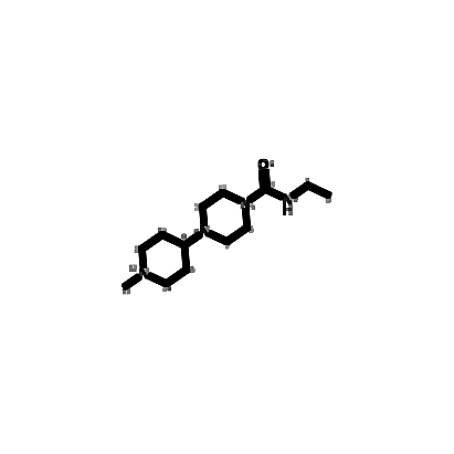 CCNC(=O)N1CCN(C2CCN(C)CC2)CC1